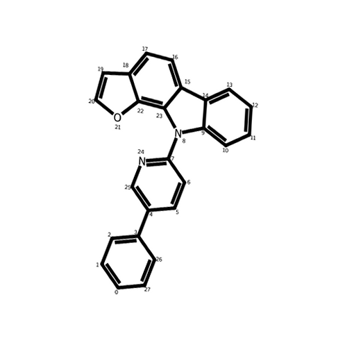 c1ccc(-c2ccc(-n3c4ccccc4c4ccc5ccoc5c43)nc2)cc1